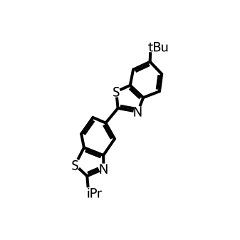 CC(C)c1nc2cc(-c3nc4ccc(C(C)(C)C)cc4s3)ccc2s1